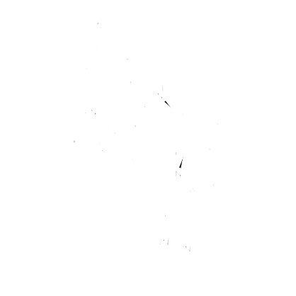 Cn1cc(C(=O)N[C@@H]2CCC[C@H](Nc3cc(C(F)(F)F)nc4sc(Cl)cc34)C2)cn1